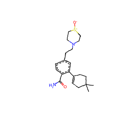 CC1(C)CC=C(c2cc(CCN3CC[S+]([O-])CC3)ccc2C(N)=O)CC1